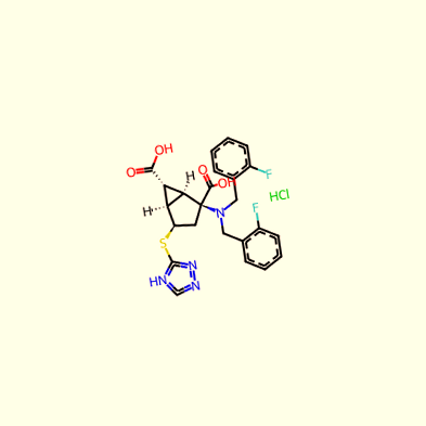 Cl.O=C(O)[C@H]1[C@H]2[C@@H]1[C@@](C(=O)O)(N(Cc1ccccc1F)Cc1ccccc1F)C[C@H]2Sc1nnc[nH]1